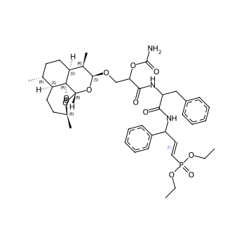 CCOP(=O)(/C=C/C(NC(=O)C(Cc1ccccc1)NC(=O)C(CO[C@H]1O[C@@H]2O[C@@]3(C)CC[C@H]4[C@H](C)CC[C@@H]([C@H]1C)[C@@]24OO3)OC(N)=O)c1ccccc1)OCC